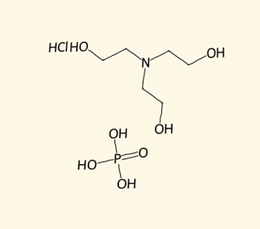 Cl.O=P(O)(O)O.OCCN(CCO)CCO